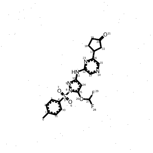 Cc1ccc(S(=O)(=O)n2nc(Nc3cncc(C4CCC(=O)C4)n3)cc2OC(F)F)cc1